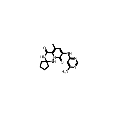 Cc1cc(Nc2cc(N)ncn2)c(=O)n2c1C(=O)NC1(CCCC1)N2